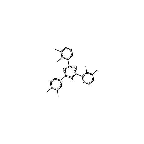 Cc1ccc(-c2nc(-c3cccc(C)c3C)nc(-c3cccc(C)c3C)n2)cc1C